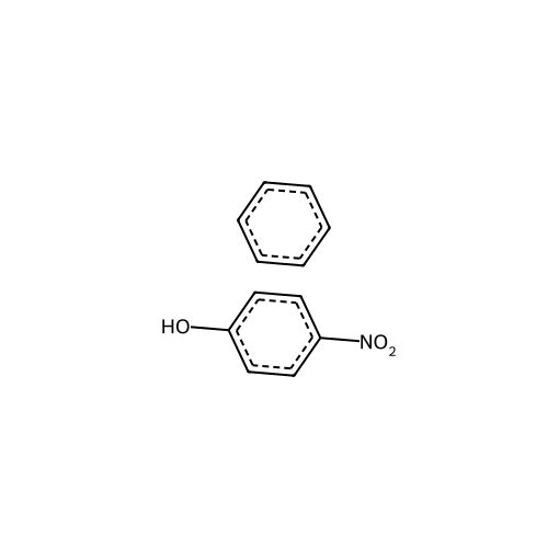 O=[N+]([O-])c1ccc(O)cc1.c1ccccc1